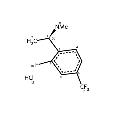 CN[C@H](C)c1ccc(C(F)(F)F)cc1F.Cl